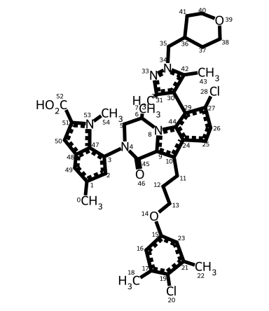 Cc1cc(N2CC(C)n3c(c(CCCOc4cc(C)c(Cl)c(C)c4)c4ccc(Cl)c(-c5c(C)nn(CC6CCOCC6)c5C)c43)C2=O)c2c(c1)cc(C(=O)O)n2C